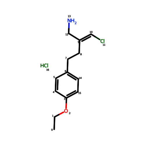 CCOc1ccc(CC/C(=C\Cl)CN)cc1.Cl